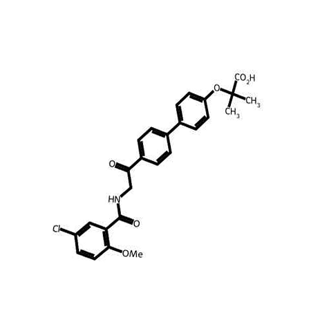 COc1ccc(Cl)cc1C(=O)NCC(=O)c1ccc(-c2ccc(OC(C)(C)C(=O)O)cc2)cc1